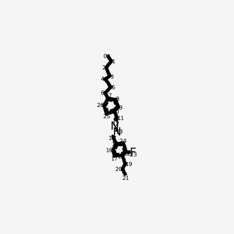 CCCCCCCc1ccc(C=NN=Cc2ccc(CCC)c(F)c2)cc1